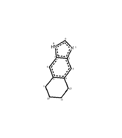 c1nc2cc3c(cc2[nH]1)CCCC3